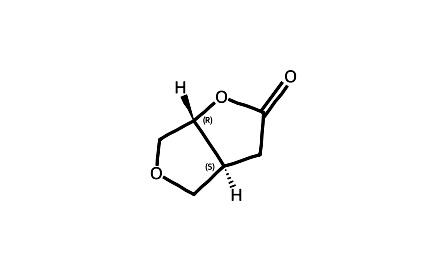 O=C1C[C@H]2COC[C@@H]2O1